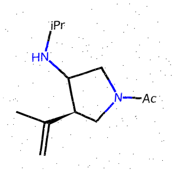 C=C(C)[C@@H]1CN(C(C)=O)CC1NC(C)C